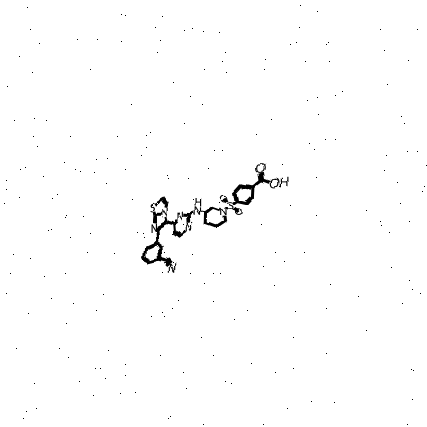 N#Cc1cccc(-c2nc3sccn3c2-c2ccnc(N[C@@H]3CCCN(S(=O)(=O)c4ccc(C(=O)O)cc4)C3)n2)c1